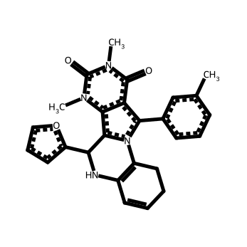 Cc1cccc(-c2c3c(=O)n(C)c(=O)n(C)c3c3n2C2=C(C=CCC2)NC3c2ccco2)c1